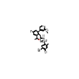 COc1cc(-c2cc(F)cc(C(C)C)c2CC(=O)NS(=O)(=O)c2cc(Br)c(Cl)cc2C)ccn1